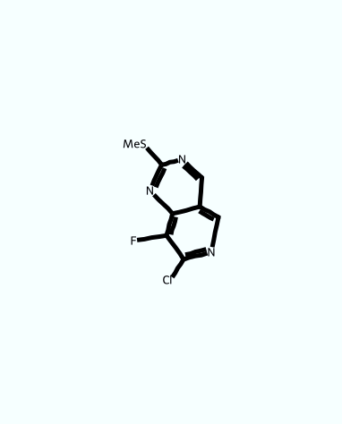 CSc1ncc2cnc(Cl)c(F)c2n1